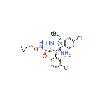 CC(C)(C)C[C@@H]1N[C@@H](C(=O)NOCC2CC2)[C@H](c2cccc(Cl)c2F)[C@@]1(N)c1ccc(Cl)cc1